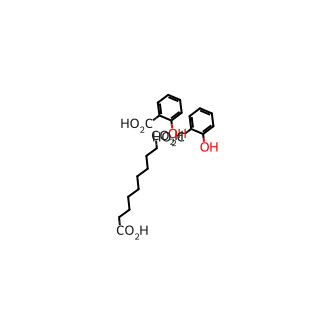 O=C(O)CCCCCCCCC(=O)O.O=C(O)c1ccccc1O.O=C(O)c1ccccc1O